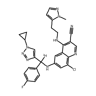 [2H]C(Nc1cc(Cl)c2ncc(C#N)c(NCCc3ccnn3C)c2c1)(c1ccc(F)cc1)c1cn(C2CC2)nn1